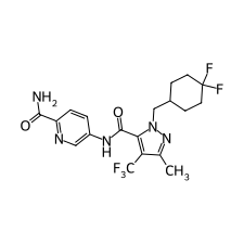 Cc1nn(CC2CCC(F)(F)CC2)c(C(=O)Nc2ccc(C(N)=O)nc2)c1C(F)(F)F